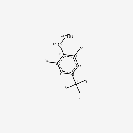 Cc1cc(C(C)(C)I)cc(C)c1OC(C)(C)C